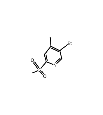 CCc1cnc(S(C)(=O)=O)cc1C